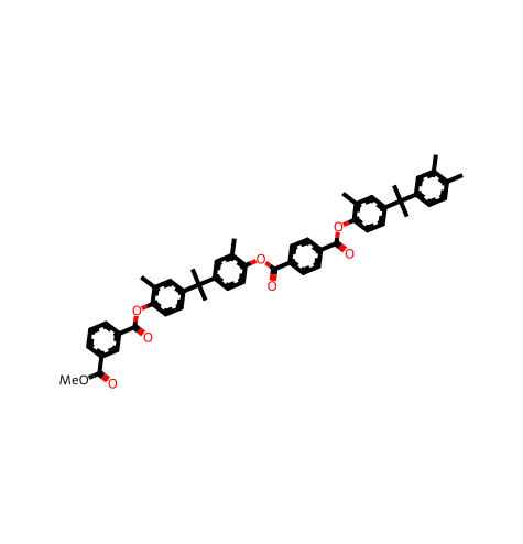 COC(=O)c1cccc(C(=O)Oc2ccc(C(C)(C)c3ccc(OC(=O)c4ccc(C(=O)Oc5ccc(C(C)(C)c6ccc(C)c(C)c6)cc5C)cc4)c(C)c3)cc2C)c1